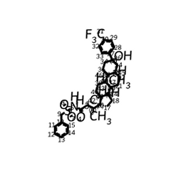 C[C@H](CC(=O)NS(=O)(=O)Cc1ccccc1)[C@H]1CC[C@H]2[C@@H]3CC[C@@H]4C[C@](O)(c5ccc(C(F)(F)F)cc5)CC[C@]4(C)[C@H]3CC[C@]12C